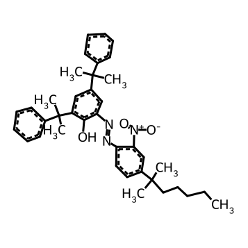 CCCCCC(C)(C)c1ccc(N=Nc2cc(C(C)(C)c3ccccc3)cc(C(C)(C)c3ccccc3)c2O)c([N+](=O)[O-])c1